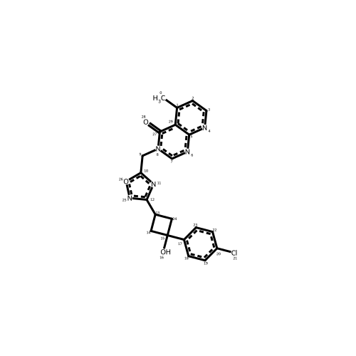 Cc1ccnc2ncn(Cc3nc(C4CC(O)(c5ccc(Cl)cc5)C4)no3)c(=O)c12